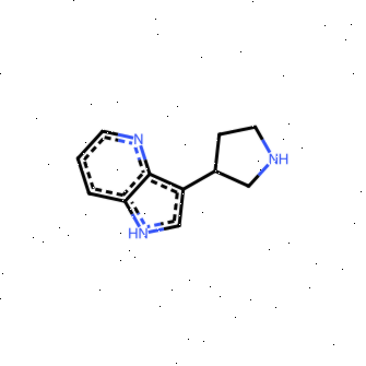 c1cnc2c(C3CCNC3)c[nH]c2c1